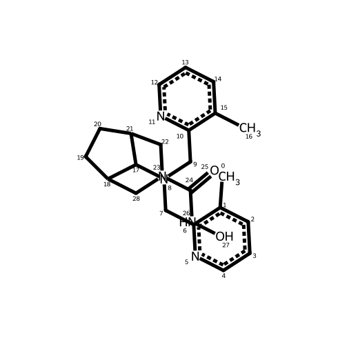 Cc1cccnc1CN(Cc1ncccc1C)C1C2CCC1CN(C(=O)NO)C2